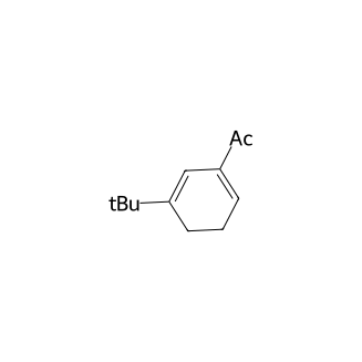 CC(=O)C1=CCCC(C(C)(C)C)=C1